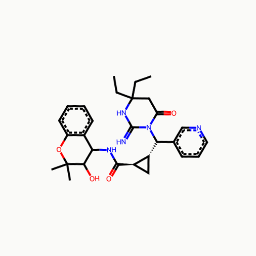 CCC1(CC)CC(=O)N(C(c2cccnc2)[C@@H]2C[C@H]2C(=O)NC2c3ccccc3OC(C)(C)C2O)C(=N)N1